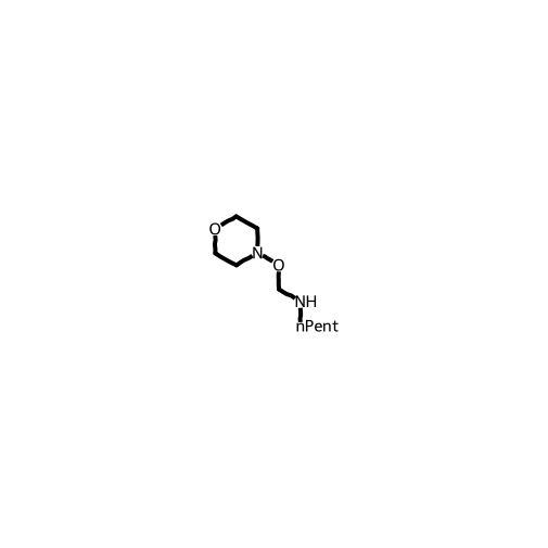 CCCCCNCON1CCOCC1